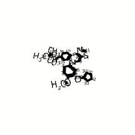 COc1ccc(N(Cc2cncs2)c2cccc(C(=O)OC(C)(C)C)c2)cc1OC1CCCC1